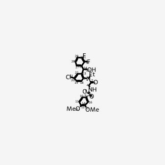 CCN(C(=O)CNS(=O)(=O)c1ccc(OC)c(OC)c1)c1ccc(Cl)cc1C(O)c1cccc(F)c1F